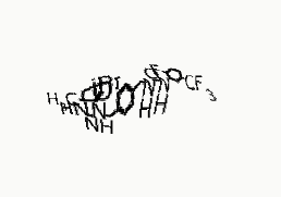 CC(C)CC1(C)NC(=N)N(Cc2ccc(CNC(=O)Nc3cc(C(F)(F)F)ccc3F)cc2)C1=O